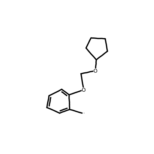 [CH2]c1ccccc1OCOC1CCCC1